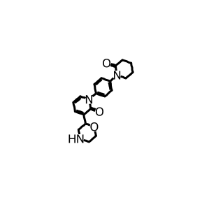 O=C1CCCCN1c1ccc(-n2cccc(C3CNCCO3)c2=O)cc1